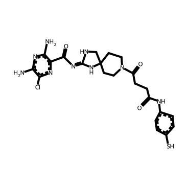 Nc1nc(N)c(C(=O)/N=C2\NCC3(CCN(C(=O)CCC(=O)Nc4ccc(S)cc4)CC3)N2)nc1Cl